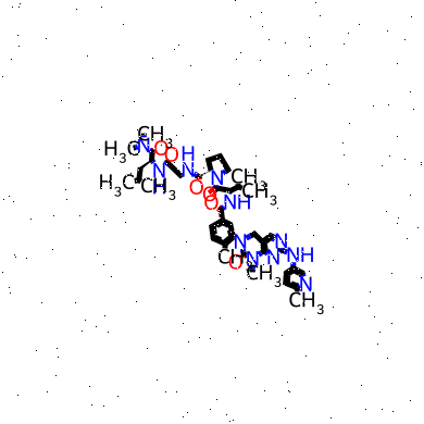 Cc1ccc(Nc2ncc3c(n2)N(C)C(=O)N(c2cc(C(=O)N[C@H](C(=O)N4CCC[C@H]4C(=O)NCC(=O)N[C@@H](CC(C)C)C(=O)N(C)C)C(C)C)ccc2C)C3)cn1